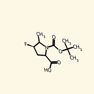 CC1[C@H](F)CC(C(=O)O)N1C(=O)OC(C)(C)C